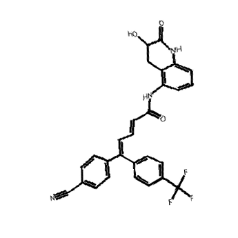 N#Cc1ccc(C(=CC=CC(=O)Nc2cccc3c2CC(O)C(=O)N3)c2ccc(C(F)(F)F)cc2)cc1